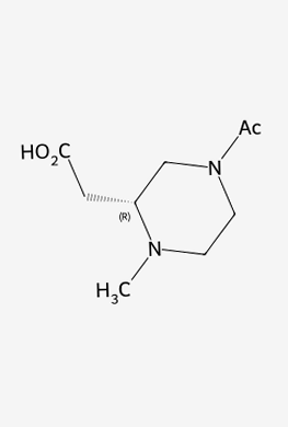 CC(=O)N1CCN(C)[C@H](CC(=O)O)C1